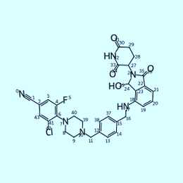 N#Cc1cc(F)c(N2CCN(Cc3ccc(CNc4cccc5c4C(O)N(C4CCC(=O)NC4=O)C5=O)cc3)CC2)c(Cl)c1